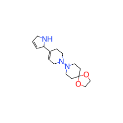 C1=CC(C2=CCN(N3CCC4(CC3)OCCO4)CC2)NC1